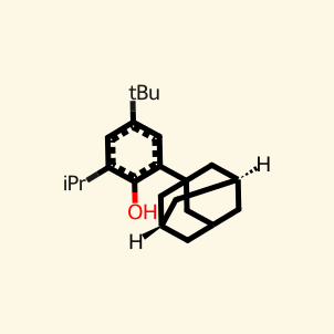 CC(C)c1cc(C(C)(C)C)cc(C23CC4C[C@H](C2)C[C@H](C4)C3)c1O